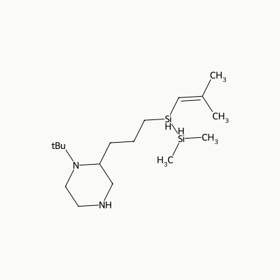 CC(C)=C[SiH](CCCC1CNCCN1C(C)(C)C)[SiH](C)C